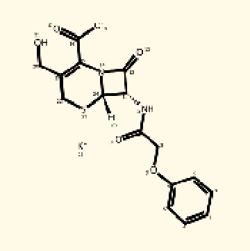 O=C(COc1ccccc1)N[C@H]1C(=O)N2C(C(=O)[O-])=C(CO)CS[C@@H]12.[K+]